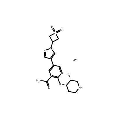 Cl.NC(=O)c1cc(-c2cnn(C3CS(=O)(=O)C3)c2)cnc1O[C@H]1CCNC[C@H]1F